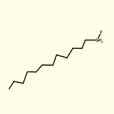 CCCCCCCCCCCC[SiH2]F